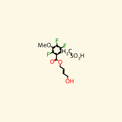 COc1c(F)c(F)cc(C(=O)OCC=CCO)c1F.CS(=O)(=O)O